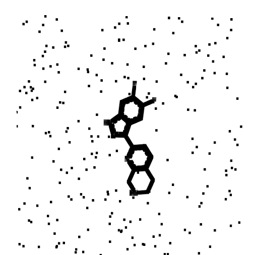 Fc1cc2[nH]nc(-c3ccc4c(n3)CNCC4)c2cc1F